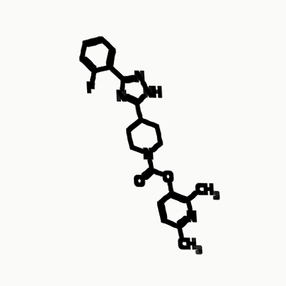 Cc1ccc(OC(=O)N2CCC(c3nc(-c4ccccc4F)n[nH]3)CC2)c(C)n1